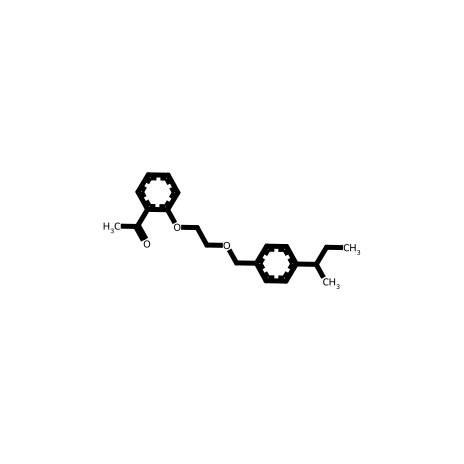 CCC(C)c1ccc(COCCOc2ccccc2C(C)=O)cc1